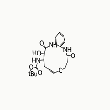 CC(C)(C)OC(=O)NC1C/C=C\CCCC(=O)Nc2ccccc2NC(=O)C1O